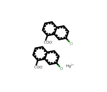 O=C([O-])c1cccc2ccc(Cl)cc12.O=C([O-])c1cccc2ccc(Cl)cc12.[Hg+2]